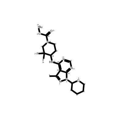 Cc1nn(C2CCCCO2)c2ncnc(NC3CCN(C(=O)OC(C)(C)C)CC3(F)F)c12